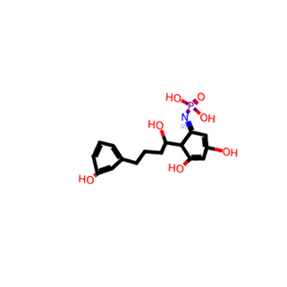 O=P(O)(O)/N=C1\C=C(O)C=C(O)C1C(O)CCCc1cccc(O)c1